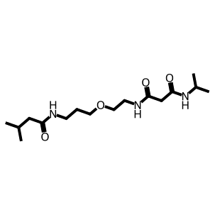 CC(C)CC(=O)NCCCOCCNC(=O)CC(=O)NC(C)C